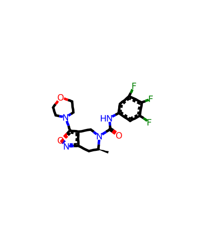 C[C@H]1Cc2noc(N3CCOCC3)c2CN1C(=O)Nc1cc(F)c(F)c(F)c1